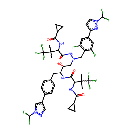 CC(C)(C(NC(=O)C1CC1)C(=O)N[C@@H](Cc1ccc(-c2cnn(C(F)F)c2)cc1)[C@@H](O)CN(Cc1c(F)cc(-c2ccn(C(F)F)n2)cc1F)NC(=O)C(NC(=O)C1CC1)C(C)(C)C(F)(F)F)C(F)(F)F